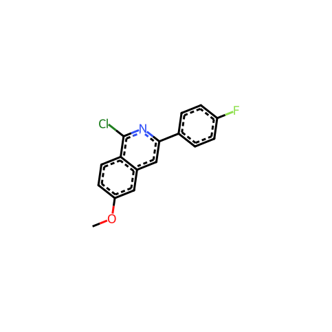 COc1ccc2c(Cl)nc(-c3ccc(F)cc3)cc2c1